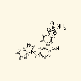 N#Cc1cnc(Cn2cnc3cccnc32)cc1-c1ccc(OS(N)(=O)=O)cc1